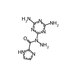 Nc1nc(N)nc(N(N)C(=O)c2ncc[nH]2)n1